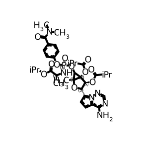 CC(C)OC(=O)[C@H](C)N[P@@](=O)(Oc1ccc(C(=O)N(C)C)cc1)OC1[C@@]2(C)O[C@@H](c3ccc4c(N)ncnn34)[C@H](OC(=O)C(C)C)[C@@]12OC(=O)C(C)C